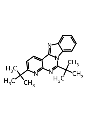 CC(C)(C)c1ccc2c(n1)nc(C(C)(C)C)n1c3ccccc3nc21